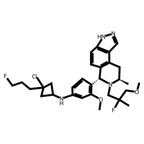 COCC(C)(F)CN1[C@H](c2ccc(NC3CC(Cl)(CCCF)C3)cc2OC)c2ccc3[nH]ncc3c2C[C@H]1C